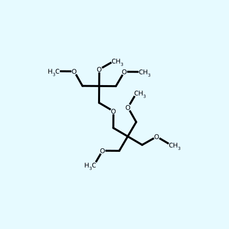 COCC(COC)(COC)COCC(COC)(COC)OC